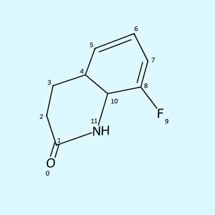 O=C1CCC2C=CC=C(F)C2N1